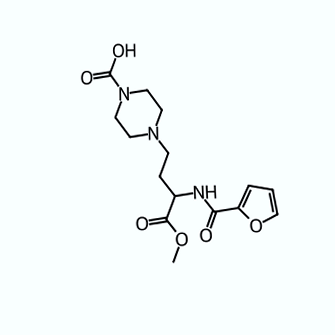 COC(=O)C(CCN1CCN(C(=O)O)CC1)NC(=O)c1ccco1